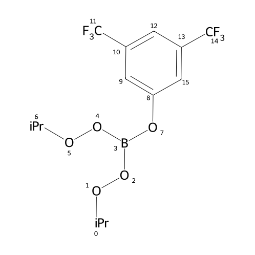 CC(C)OOB(OOC(C)C)Oc1cc(C(F)(F)F)cc(C(F)(F)F)c1